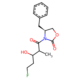 CC(C(=O)N1C(=O)OC[C@@H]1Cc1ccccc1)C(O)CCF